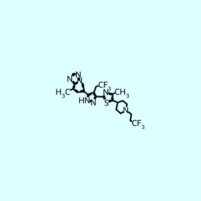 Cc1nc(-c2n[nH]c(-c3cc(C)c4ncnn4c3)c2CC(F)(F)F)sc1C1CCN(CCC(F)(F)F)CC1